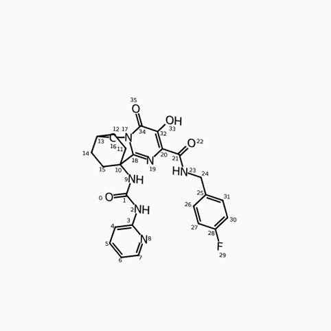 O=C(Nc1ccccn1)NC12CCC(CC1)Cn1c2nc(C(=O)NCc2ccc(F)cc2)c(O)c1=O